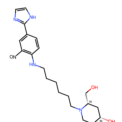 O=Nc1cc(-c2ncc[nH]2)ccc1NCCCCCCN1CC[C@@H](O)C[C@H]1CO